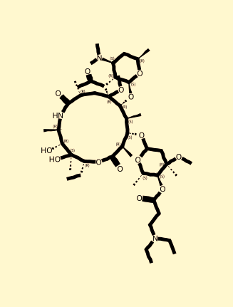 CC[C@H]1OC(=O)[C@H](C)[C@@H](OC2C[C@@](C)(OC)[C@@H](OC(=O)CCN(CC)CC)[C@H](C)O2)[C@H](C)[C@@H](O[C@@H]2O[C@H](C)C[C@H](N(C)C)[C@H]2CC(C)=O)[C@](C)(OC)C[C@@H](C)C(=O)N[C@H](C)[C@@H](O)[C@]1(C)O